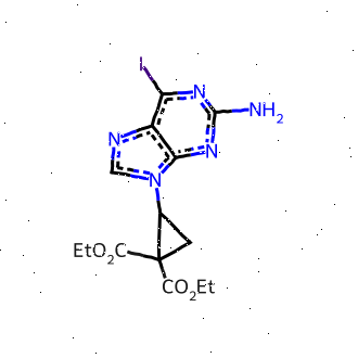 CCOC(=O)C1(C(=O)OCC)CC1n1cnc2c(I)nc(N)nc21